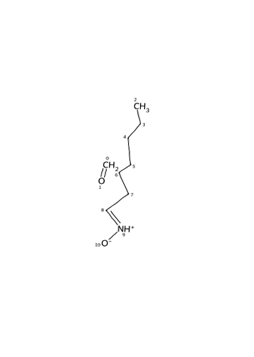 C=O.CCCCCCC=[NH+][O-]